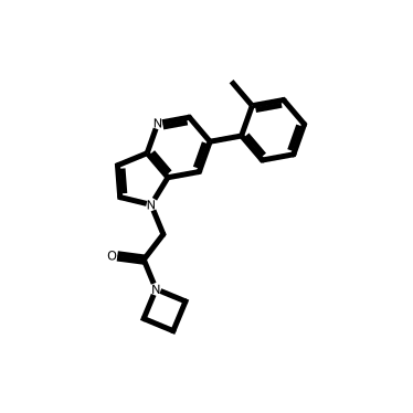 Cc1ccccc1-c1cnc2ccn(CC(=O)N3CCC3)c2c1